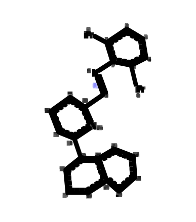 CC(C)c1cccc(C(C)C)c1/N=C/c1cccc(-c2cccc3ccccc23)n1